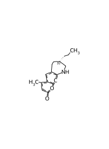 CCC[C@H]1CCc2cc3c(C)cc(=O)oc3cc2NC1